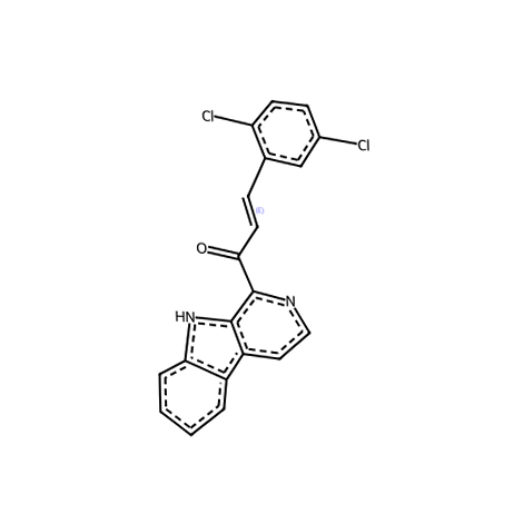 O=C(/C=C/c1cc(Cl)ccc1Cl)c1nccc2c1[nH]c1ccccc12